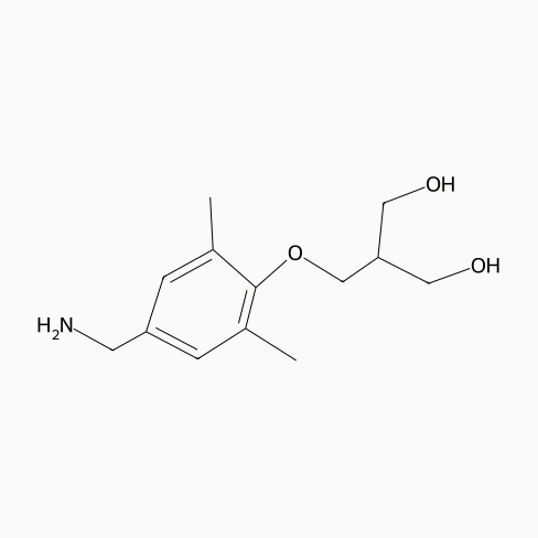 Cc1cc(CN)cc(C)c1OCC(CO)CO